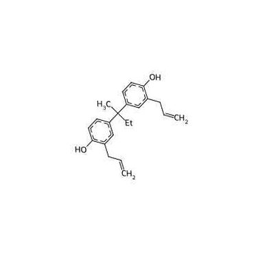 C=CCc1cc(C(C)(CC)c2ccc(O)c(CC=C)c2)ccc1O